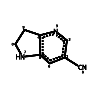 N#Cc1cnc2c(c1)NCC2